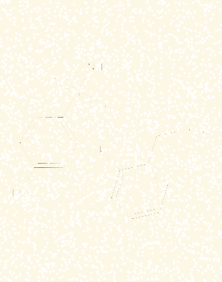 CCc1ccc(S(N)(=O)=O)cc1.O=C(O)Cc1ccccc1I